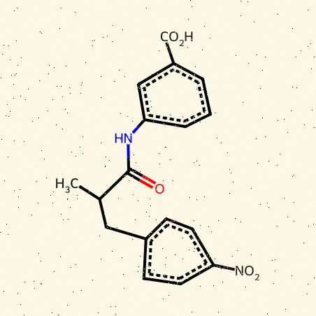 CC(Cc1ccc([N+](=O)[O-])cc1)C(=O)Nc1cccc(C(=O)O)c1